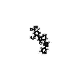 Cc1cc(C(N)=O)ccc1-n1cc(C(F)(F)F)c2c(-n3cnc(-c4cccnc4)c3)cccc21